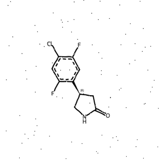 O=C1C[C@H](c2cc(F)c(Cl)cc2F)CN1